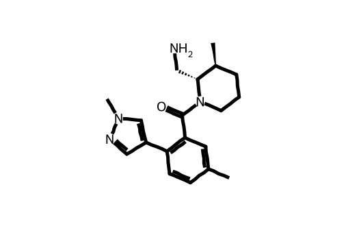 Cc1ccc(-c2cnn(C)c2)c(C(=O)N2CCC[C@H](C)[C@H]2CN)c1